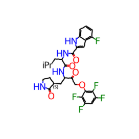 CC(C)CC(NC(=O)c1cc2c(F)cccc2[nH]1)C(=O)NC(C[C@@H]1CCNC1=O)C(=O)COc1c(F)c(F)cc(F)c1F